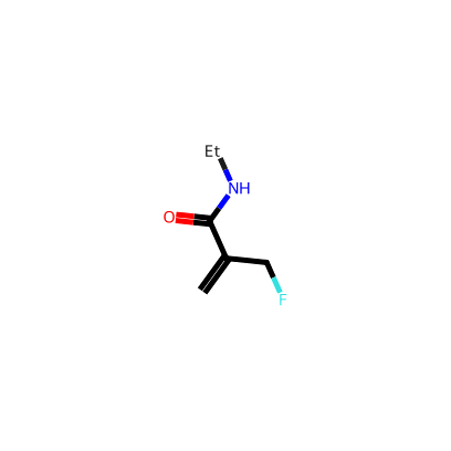 C=C(CF)C(=O)NCC